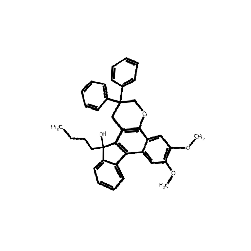 CCCCC1(O)c2ccccc2-c2c1c1c(c3cc(OC)c(OC)cc23)OCC(c2ccccc2)(c2ccccc2)C1